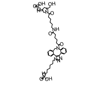 O=C(CCCCC(=O)N1Cc2ccccc2-c2c(nnn2CCCCCCO[PH](=O)O)-c2ccccc21)NCCCCCC(=O)N1C[C@H](O[PH](=O)O)C[C@H]1CO